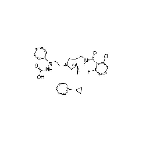 O=C(O)N[C@H](CCN1CC2CN(C(=O)c3c(F)cccc3Cl)C[C@@H]2C1)c1ccccc1.c1ccc(C2CC2)cc1